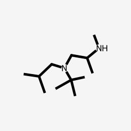 CNC(C)CN(CC(C)C)C(C)(C)C